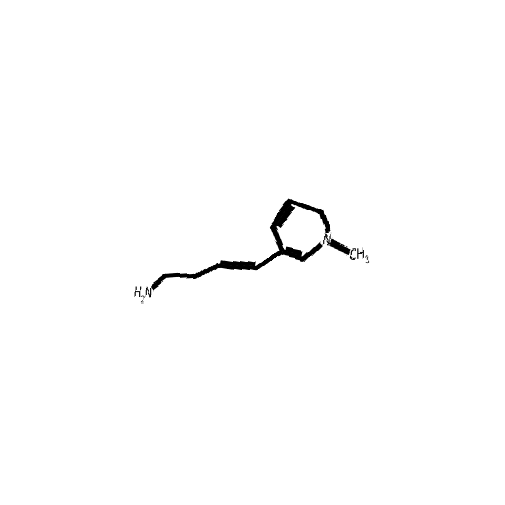 CN1C=C(C=CCCN)C=CC1